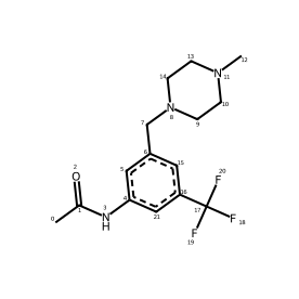 CC(=O)Nc1cc(CN2CCN(C)CC2)cc(C(F)(F)F)c1